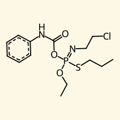 CCCSP(=NCCCl)(OCC)OC(=O)Nc1ccccc1